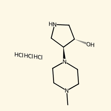 CN1CCN([C@H]2CNC[C@@H]2O)CC1.Cl.Cl.Cl